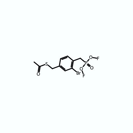 CC(=O)SCc1ccc(CP(=O)(OF)OF)c(Br)c1